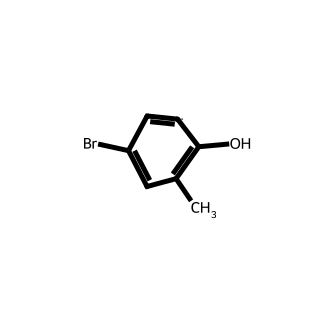 Cc1cc(Br)c[c]c1O